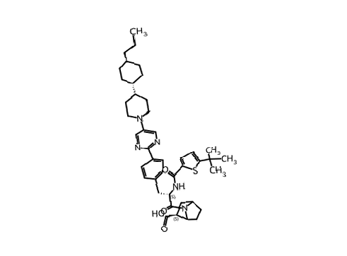 CCC[C@H]1CC[C@H](C2CCN(c3cnc(-c4ccc(C[C@H](NC(=O)c5ccc(C(C)(C)C)s5)C(=O)N5C6CCC5[C@@H](C(=O)O)C6)cc4)nc3)CC2)CC1